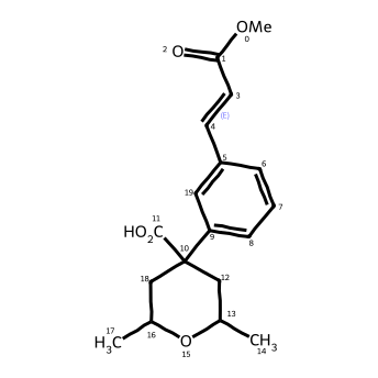 COC(=O)/C=C/c1cccc(C2(C(=O)O)CC(C)OC(C)C2)c1